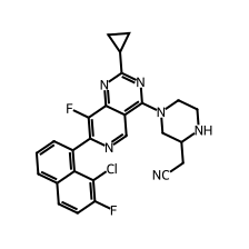 N#CCC1CN(c2nc(C3CC3)nc3c(F)c(-c4cccc5ccc(F)c(Cl)c45)ncc23)CCN1